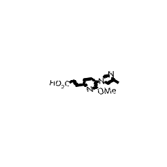 COc1nc(/C=C/C(=O)O)ccc1-n1cnc(C)c1